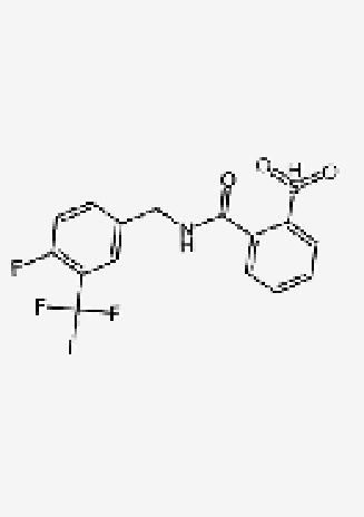 O=C(NCc1ccc(F)c(C(F)(F)F)c1)c1ccccc1[SH](=O)=O